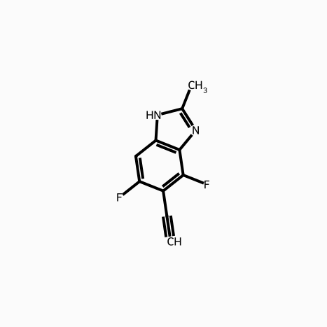 C#Cc1c(F)cc2[nH]c(C)nc2c1F